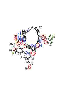 COc1ccc2c(O[C@@H]3C[C@H]4C(=O)N[C@]5(C(=O)NS(=O)(=O)C6CC6)C[C@H]5/C=C\CC[C@H](C)C[C@@H](C)[C@H](NC(=O)OC(C)(C)C(F)(F)F)C(=O)N4C3)nc(-c3ccc(OC)c(F)c3)cc2c1